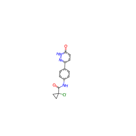 O=C(Nc1ccc(-c2ccc(=O)[nH]n2)cc1)C1(Cl)CC1